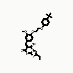 CCC1=NN2C(=N)C(=Cc3ccc(OCCOc4ccc(C(C)(C)C)cc4)c(OC)c3)C(=O)N=C2S1